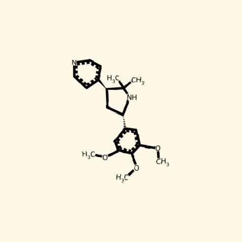 COc1cc([C@@H]2C[C@@H](c3ccncc3)C(C)(C)N2)cc(OC)c1OC